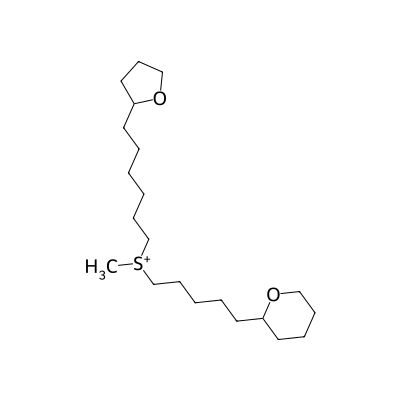 C[S+](CCCCCCC1CCCO1)CCCCCC1CCCCO1